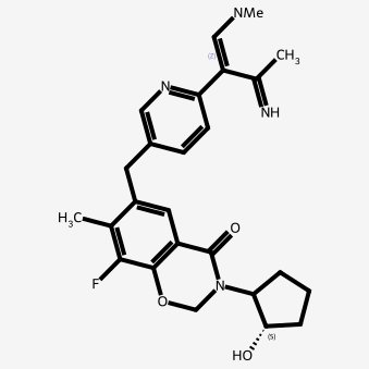 CN/C=C(\C(C)=N)c1ccc(Cc2cc3c(c(F)c2C)OCN(C2CCC[C@@H]2O)C3=O)cn1